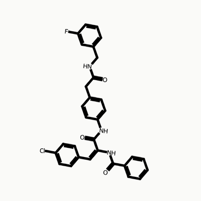 O=C(Cc1ccc(NC(=O)/C(=C\c2ccc(Cl)cc2)NC(=O)c2ccccc2)cc1)NCc1cccc(F)c1